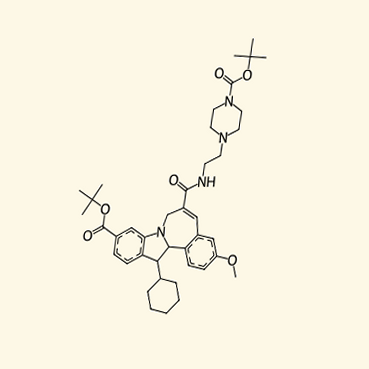 COc1ccc2c(c1)C=C(C(=O)NCCN1CCN(C(=O)OC(C)(C)C)CC1)CN1c3cc(C(=O)OC(C)(C)C)ccc3C(C3CCCCC3)C21